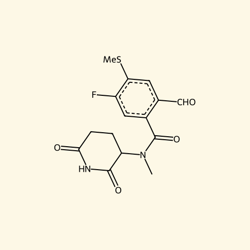 CSc1cc(C=O)c(C(=O)N(C)C2CCC(=O)NC2=O)cc1F